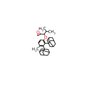 Cc1ccc(OC(C(C)C)C2CO2)c(C23CC4CC(CC(C4)C2)C3)c1C12CC3CC(CC(C3)C1)C2